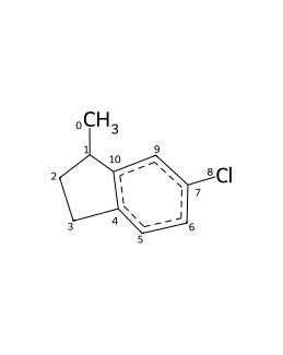 CC1CCc2ccc(Cl)cc21